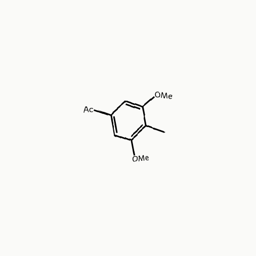 COc1cc(C(C)=O)cc(OC)c1C